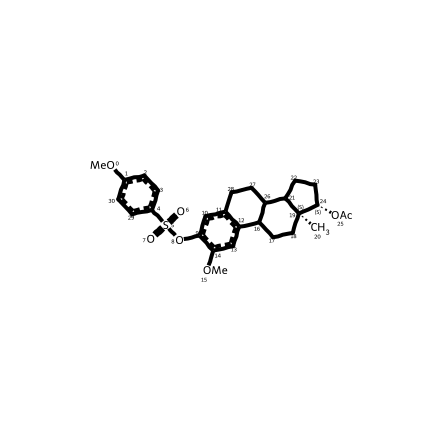 COc1ccc(S(=O)(=O)Oc2cc3c(cc2OC)C2CC[C@@]4(C)C(CC[C@@H]4OC(C)=O)C2CC3)cc1